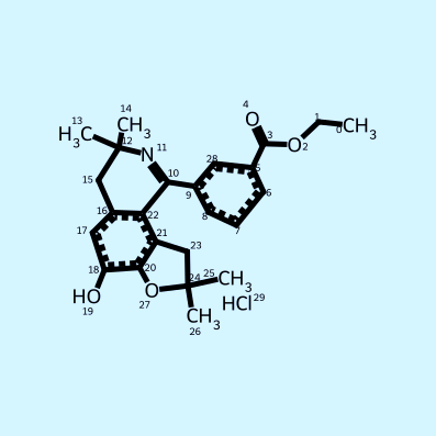 CCOC(=O)c1cccc(C2=NC(C)(C)Cc3cc(O)c4c(c32)CC(C)(C)O4)c1.Cl